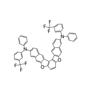 FC(F)(F)c1cccc(N(c2ccccc2)c2ccc3cc4c(cc3c2)oc2ccc3oc5cc6cc(N(c7ccccc7)c7cccc(C(F)(F)F)c7)ccc6cc5c3c24)c1